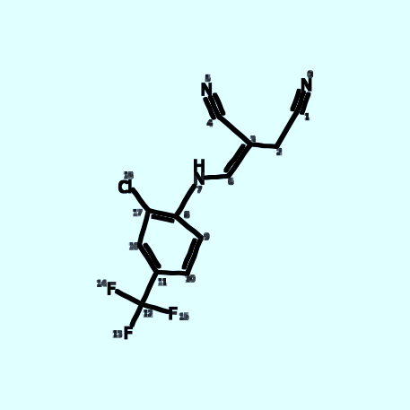 N#CCC(C#N)=CNc1ccc(C(F)(F)F)cc1Cl